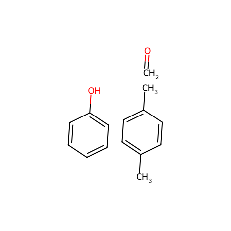 C=O.Cc1ccc(C)cc1.Oc1ccccc1